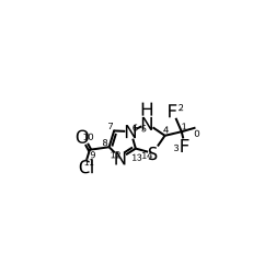 CC(F)(F)C1Nn2cc(C(=O)Cl)nc2S1